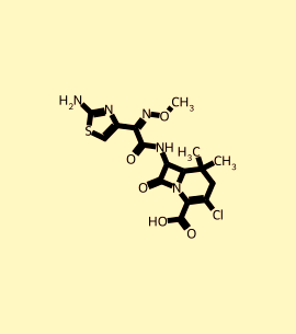 CON=C(C(=O)NC1C(=O)N2C(C(=O)O)=C(Cl)CC(C)(C)C12)c1csc(N)n1